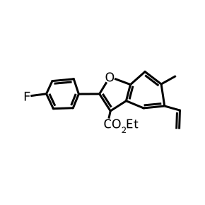 C=Cc1cc2c(C(=O)OCC)c(-c3ccc(F)cc3)oc2cc1C